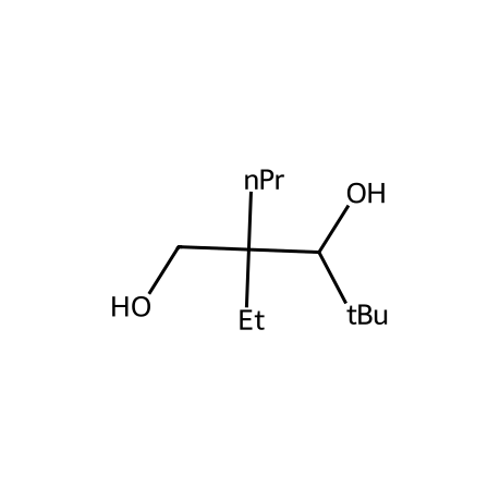 CCCC(CC)(CO)C(O)C(C)(C)C